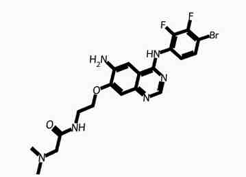 CN(C)CC(=O)NCCOc1cc2ncnc(Nc3ccc(Br)c(F)c3F)c2cc1N